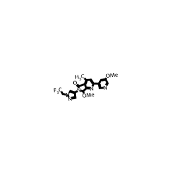 COc1cncc(-c2cc(C)c3c(n2)C(OC)N(c2cnn(CC(F)(F)F)c2)C3=O)c1